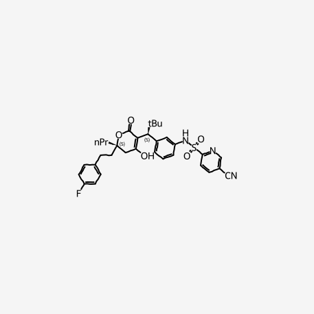 CCC[C@]1(CCc2ccc(F)cc2)CC(O)=C([C@H](c2cccc(NS(=O)(=O)c3ccc(C#N)cn3)c2)C(C)(C)C)C(=O)O1